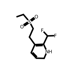 CCS(=O)(=O)CCC1=C(C(F)F)NC[C]=C1